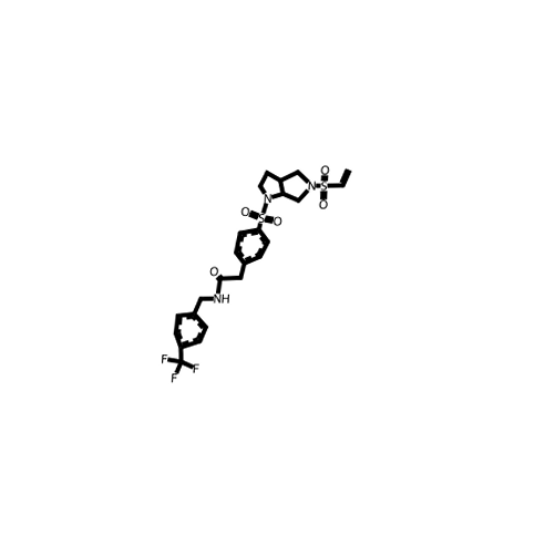 C=CS(=O)(=O)N1CC2CCN(S(=O)(=O)c3ccc(CC(=O)NCc4ccc(C(F)(F)F)cc4)cc3)C2C1